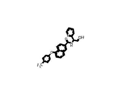 O=C(NC(CO)c1ccccn1)c1ccc2c(Oc3ccc(C(F)(F)F)cc3)cccc2c1